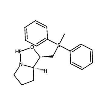 CS(C[C@@H]1OPN2CCC[C@H]12)(c1ccccc1)c1ccccc1